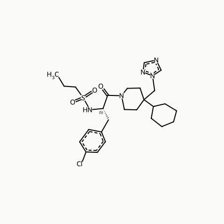 CCCS(=O)(=O)N[C@@H](Cc1ccc(Cl)cc1)C(=O)N1CCC(Cn2cncn2)(C2CCCCC2)CC1